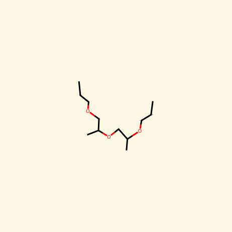 C[CH][CH]OC(C)COC(C)COCCC